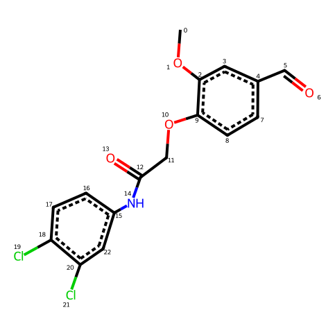 COc1cc(C=O)ccc1OCC(=O)Nc1ccc(Cl)c(Cl)c1